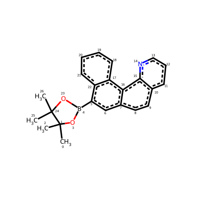 CC1(C)OB(c2cc3ccc4cccnc4c3c3ccccc23)OC1(C)C